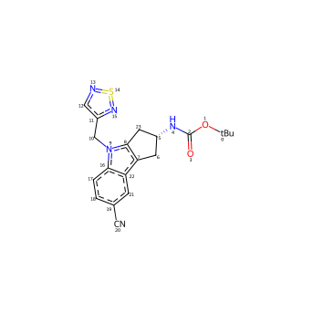 CC(C)(C)OC(=O)N[C@@H]1Cc2c(n(Cc3cnsn3)c3ccc(C#N)cc23)C1